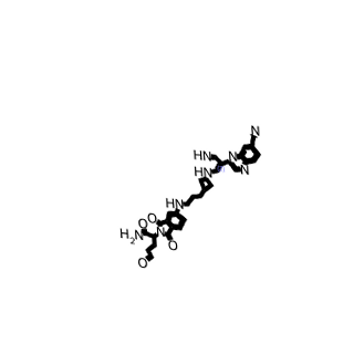 N#Cc1ccc2ncc(/C(C=N)=C/NC3CC(CCCNc4ccc5c(c4)C(=O)N(C(CCC=O)C(N)=O)C5=O)C3)nc2c1